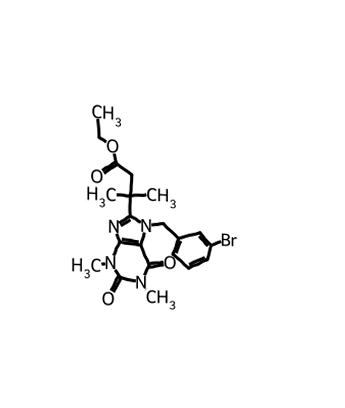 CCOC(=O)CC(C)(C)c1nc2c(c(=O)n(C)c(=O)n2C)n1Cc1cccc(Br)c1